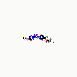 COc1cnc(-c2noc(N3CCC(C(=O)OC(C)(C)C)CC3)n2)nc1